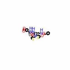 O=C(O)C[C@H](NC(=O)N[C@H](CCCCNC(=O)OCc1ccccc1)C(=O)N(Cc1cccs1)Cc1cccs1)c1ccc2c(c1)OCO2